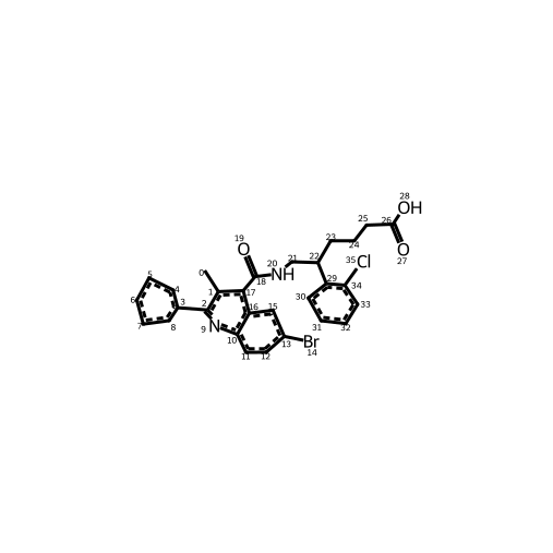 Cc1c(-c2ccccc2)nc2ccc(Br)cc2c1C(=O)NCC(CCCC(=O)O)c1ccccc1Cl